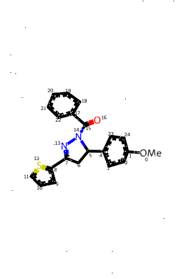 COc1ccc(C2CC(c3cccs3)=NN2C(=O)c2ccccc2)cc1